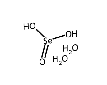 O.O.O=[Se](O)O